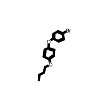 CCCCOc1ccc(Oc2ccc(Br)cc2)cc1